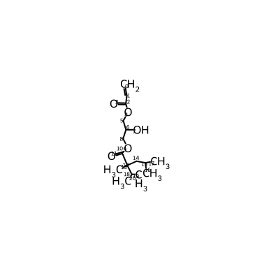 C=CC(=O)OCC(O)COC(=O)C(C)(CC(C)C)C(C)C